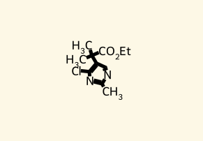 CCOC(=O)C(C)(C)c1cnc(C)nc1Cl